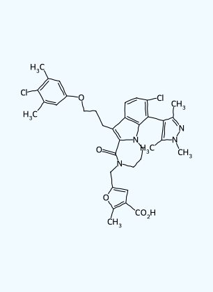 Cc1cc(OCCCc2c3n(c4c(-c5c(C)nn(C)c5C)c(Cl)ccc24)CCCN(Cc2cc(C(=O)O)c(C)o2)C3=O)cc(C)c1Cl